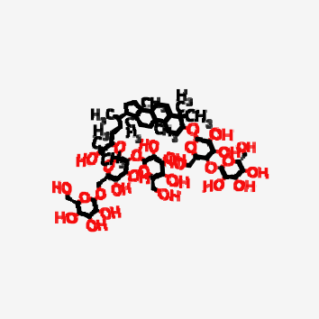 CC(CCC(O[C@@H]1O[C@H](CO[C@@H]2O[C@H](CO)[C@@H](O)[C@H](O)[C@H]2O)[C@@H](O)[C@H](O)[C@H]1O[C@@H]1O[C@H](CO)[C@@H](O)[C@H](O)[C@H]1O)C(C)(C)O)[C@H]1CC[C@@]2(C)C3CC=C4C(CC[C@H](O[C@@H]5O[C@H](CO)[C@@H](O[C@@H]6O[C@H](CO)[C@@H](O)[C@H](O)[C@H]6O)[C@H](O)[C@H]5O)C4(C)C)[C@]3(C)CC[C@]12C